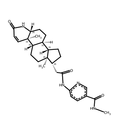 CNC(=O)c1ccc(NC(=O)C[C@H]2CC[C@H]3[C@@H]4CC[C@H]5NC(=O)C=C[C@]5(C)[C@H]4CC[C@]23C)nc1